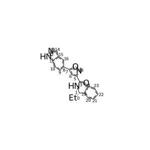 CC[C@H](NC(=O)c1cc(-c2ccc3[nH]ncc3c2)on1)c1ccccc1